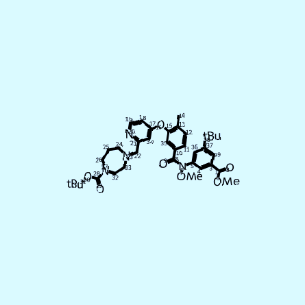 COC(=O)c1cc(N(OC)C(=O)c2ccc(C)c(Oc3ccnc(CN4CCCN(C(=O)OC(C)(C)C)CC4)c3)c2)cc(C(C)(C)C)c1